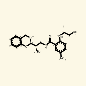 CCCC[C@H](CNC(=O)c1cc([N+](=O)[O-])ccc1N[C@H](C)CO)[C@@H]1OCc2ccccc2O1